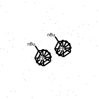 CCCC[C]12[CH]3[CH]4[CH]5[CH]1[Fe]45321678[CH]2[CH]1[CH]6[CH]7[CH]28.CCCC[C]12[CH]3[CH]4[CH]5[CH]1[Fe]45321678[CH]2[CH]1[CH]6[CH]7[CH]28